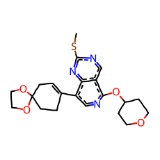 CSc1ncc2c(OC3CCOCC3)ncc(C3=CCC4(CC3)OCCO4)c2n1